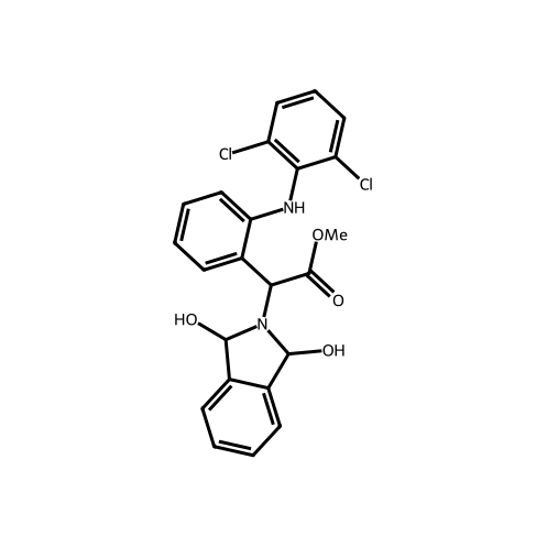 COC(=O)C(c1ccccc1Nc1c(Cl)cccc1Cl)N1C(O)c2ccccc2C1O